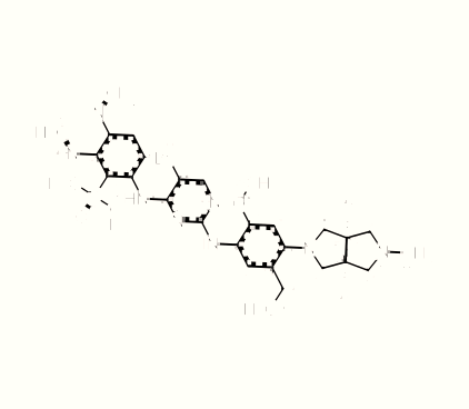 C=Nc1ccc(Nc2nc(Nc3cc(CC)c(N4C[C@H]5CN(C)C[C@H]5C4)cc3OC)ncc2Br)c(P(C)(C)=O)c1N=C